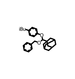 CCC(C)c1ccc(OC(OCc2ccccc2)C23CC4CC(CC(C4)C2)C3)cc1